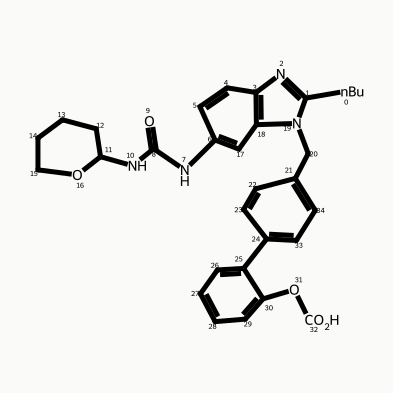 CCCCc1nc2ccc(NC(=O)NC3CCCCO3)cc2n1Cc1ccc(-c2ccccc2OC(=O)O)cc1